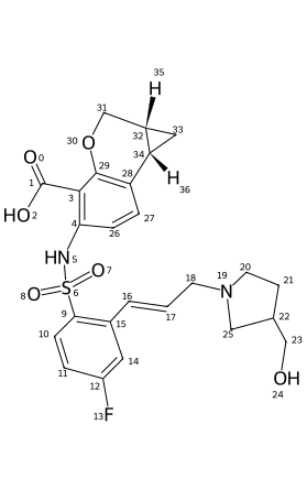 O=C(O)c1c(NS(=O)(=O)c2ccc(F)cc2C=CCN2CCC(CO)C2)ccc2c1OC[C@@H]1C[C@H]21